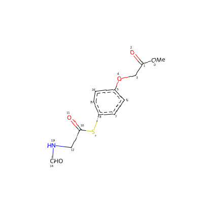 COC(=O)COc1ccc(SC(=O)CNC=O)cc1